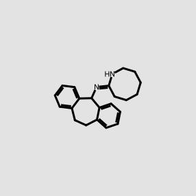 c1ccc2c(c1)CCc1ccccc1C2N=C1CCCCCCN1